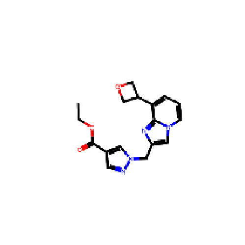 CCOC(=O)c1cnn(Cc2cn3cccc(C4COC4)c3n2)c1